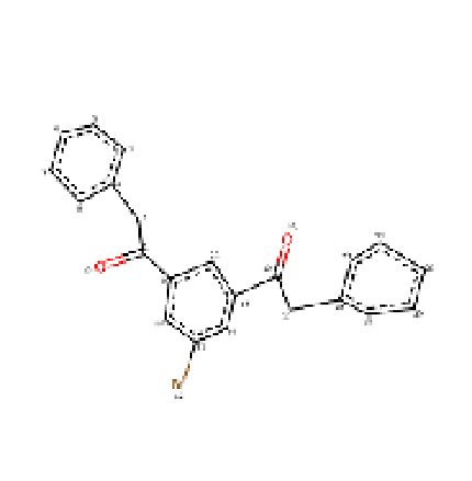 O=C(Cc1ccccc1)c1cc(Br)cc(C(=O)Cc2ccccc2)c1